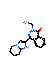 CCn1nc(C2=CN3CCCCC3N2)c2ccccc2c1=O